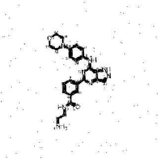 NCCNC(=O)c1cccc(-c2nc(Nc3ccc(N4CCOCC4)cc3)c3[nH]ncc3n2)c1